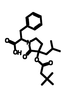 CC(C)CC1(OC(=O)CC(C)(C)C)CCN(C(Cc2ccccc2)C(=O)O)C1=O